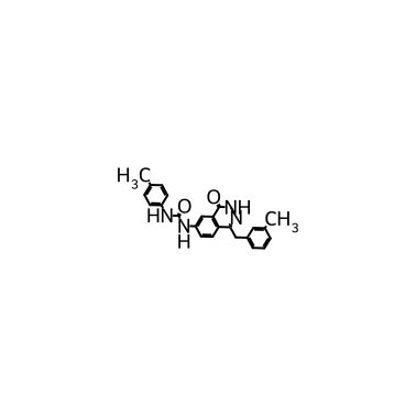 Cc1ccc(NC(=O)Nc2ccc3c(Cc4cccc(C)c4)n[nH]c(=O)c3c2)cc1